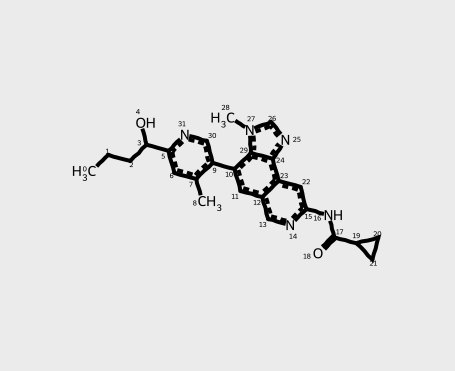 CCCC(O)c1cc(C)c(-c2cc3cnc(NC(=O)C4CC4)cc3c3ncn(C)c23)cn1